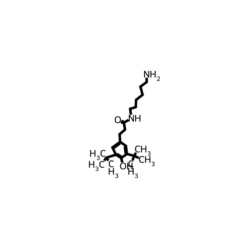 CC(C)(C)c1cc(CCC(=O)NCCCCCCN)cc(C(C)(C)C)c1O